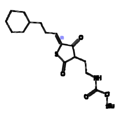 CC(C)(C)OC(=O)NCCC1C(=O)S/C(=C\CCC2CCCCC2)C1=O